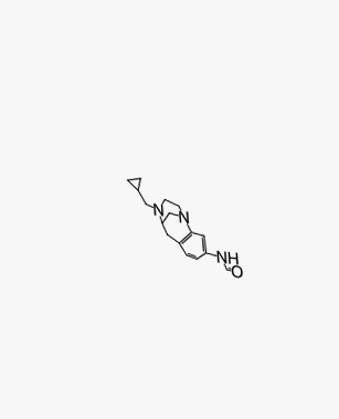 O=CNc1ccc2c(c1)N1CCN(CC3CC3)C(C2)C1